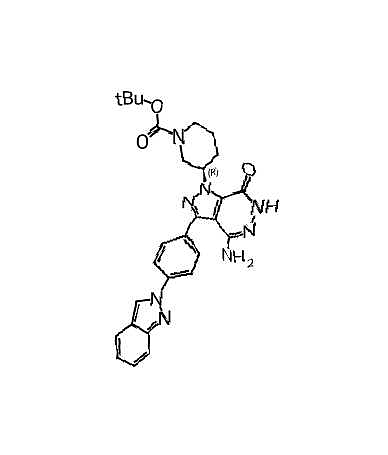 CC(C)(C)OC(=O)N1CCC[C@@H](n2nc(-c3ccc(-n4cc5ccccc5n4)cc3)c3c(N)n[nH]c(=O)c32)C1